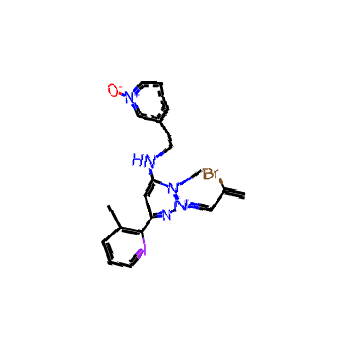 C=C(Br)/C=N\N(C)/C(=C\C(=N/C)C1=C(C)C=CC=I1)NCc1ccc[n+]([O-])c1